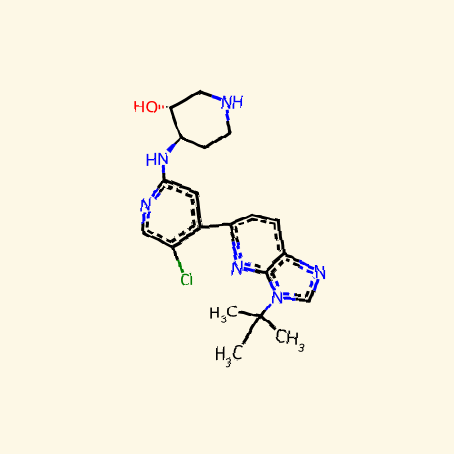 CC(C)(C)n1cnc2ccc(-c3cc(N[C@@H]4CCNC[C@H]4O)ncc3Cl)nc21